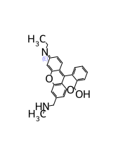 CC/N=c1\ccc2c(-c3ccccc3C(=O)O)c3ccc(CNC)cc3oc-2c1